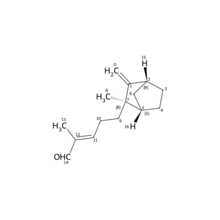 C=C1[C@@H]2CC[C@@H](C2)[C@@]1(C)CCC=C(C)C=O